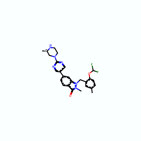 Cc1ccc(OC(F)F)c(Cn2c3cc(-c4cnc(N5CCN[C@H](C)C5)nc4)ccc3c(=O)n2C)c1